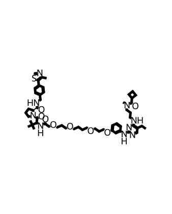 CCc1cnc(Nc2cccc(OCCCOCCCCOCCCOCC(=O)NC(C(=O)N3CCC[C@H]3C(=O)NCc3ccc(-c4scnc4C)cc3)C(C)(C)C)c2)nc1NCCCN(C)C(=O)C1CCC1